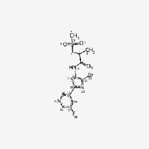 CC(CS(C)(=O)=O)C(=O)Nc1sc(-c2cncc(F)c2)nc1Br